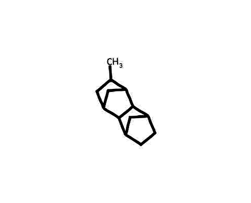 C[C]1CC2CC1C1C3CCC(C3)C21